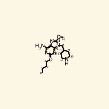 CCCCOc1nc(N)c2nc(OC)n(CC3CCNCC3)c2n1